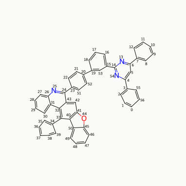 c1ccc(-c2cc(-c3ccccc3)nc(-c3cccc(-c4ccc(-c5nc6ccccc6c6c(-c7ccccc7)c7c(cc56)oc5ccccc57)cc4)c3)n2)cc1